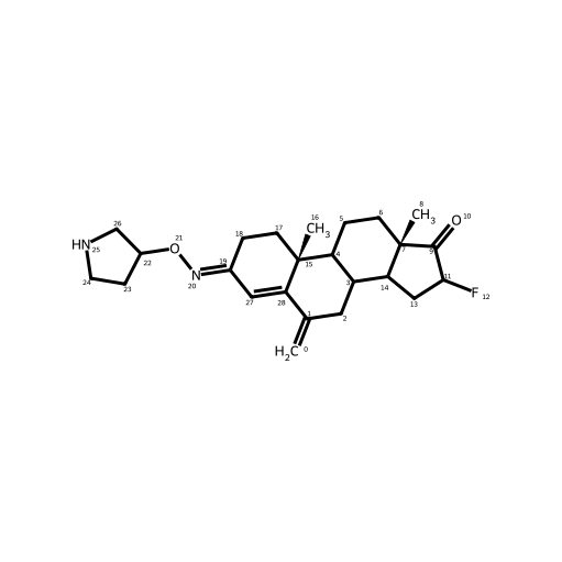 C=C1CC2C(CC[C@]3(C)C(=O)C(F)CC23)[C@@]2(C)CCC(=NOC3CCNC3)C=C12